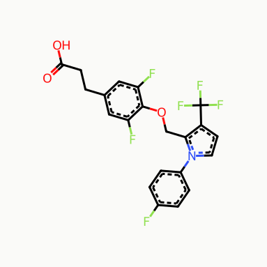 O=C(O)CCc1cc(F)c(OCc2c(C(F)(F)F)ccn2-c2ccc(F)cc2)c(F)c1